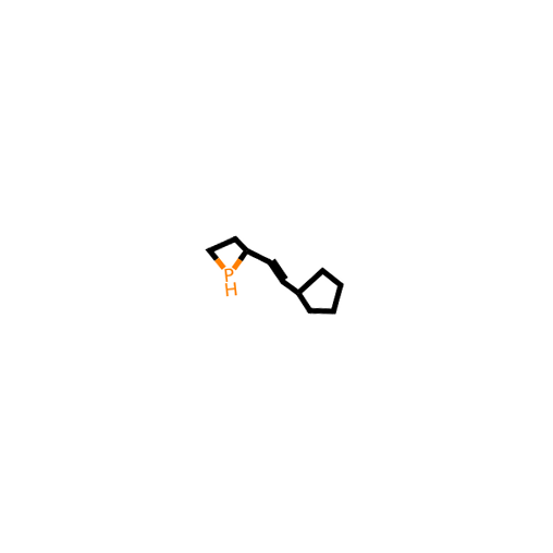 C(=CC1CCP1)C1CCCC1